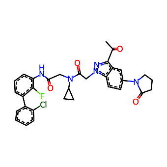 CC(=O)c1nn(CC(=O)N(CC(=O)Nc2cccc(-c3ccccc3Cl)c2F)C2CC2)c2ccc(N3CCCC3=O)cc12